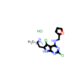 C[C@H](N)Cc1[nH]c2nc(Cl)nc(NCc3ccco3)c2c1Cl.Cl